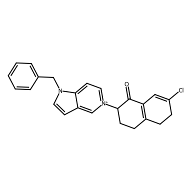 O=C1C2=C(CCC(Cl)=C2)CCC1[n+]1ccc2c(ccn2Cc2ccccc2)c1